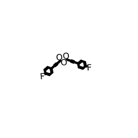 O=C(C#Cc1ccc(F)cc1)OC(=O)C#Cc1ccc(F)cc1